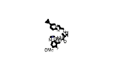 COc1ccc(N(N)/C=C\N)c(CNC(=O)c2cn(Cc3cn4cc(C5CC5)ccc4n3)nn2)c1F